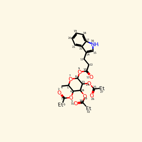 CCC(=O)OC1C(C)OC(OC(=O)CCc2c[nH]c3ccccc23)C(OC(=O)CC)C1OC(=O)CC